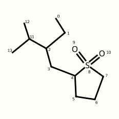 CCC(CC1CCCS1(=O)=O)C(C)C